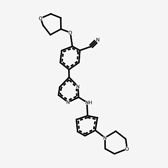 N#Cc1cc(-c2ccnc(Nc3cccc(N4CCOCC4)c3)n2)ccc1OC1CCOCC1